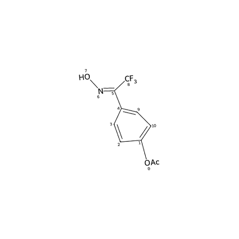 CC(=O)Oc1ccc(C(=NO)C(F)(F)F)cc1